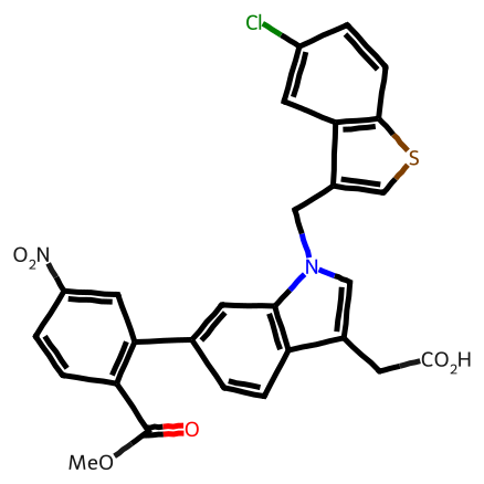 COC(=O)c1ccc([N+](=O)[O-])cc1-c1ccc2c(CC(=O)O)cn(Cc3csc4ccc(Cl)cc34)c2c1